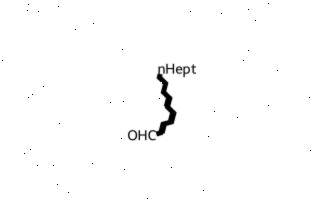 CCCCCCCCCC/C=C/C=C\C=C\C=O